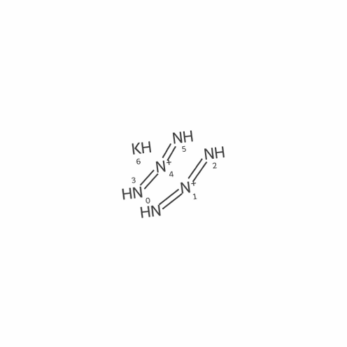 N=[N+]=N.N=[N+]=N.[KH]